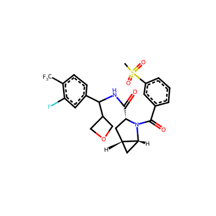 CS(=O)(=O)c1cccc(C(=O)N2[C@@H](C(=O)NC(c3ccc(C(F)(F)F)c(F)c3)C3COC3)C[C@H]3C[C@H]32)c1